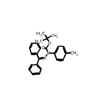 Cc1ccc(N(N=C(c2ccccc2)c2ccccc2)C(=O)OC(C)(C)C)cc1